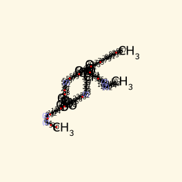 CCCCC/C=C\C/C=C\CCCCCCCC(=O)OC(COC(=O)CCCCCCC/C=C\CCCCCCCC)COC(=O)CCCCCCC/C=C\CCCCCCCC(=O)OCC(COC(=O)CCCCCCCCCCCCCCCCC)OC(=O)CCCCCCC/C=C\C/C=C\CCCCC